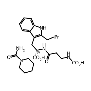 CC(C)Cc1[nH]c2ccccc2c1C[C@H](NC(=O)CCNC(=O)O)C(=O)O.NC(=O)N1CCCCC1